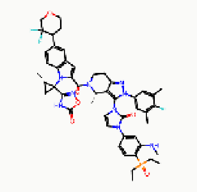 CCP(=O)(CC)c1ccc(-n2ccn(-c3c4c(nn3-c3cc(C)c(F)c(C)c3)CCN(C(=O)c3cc5cc(C6CCOCC6(F)F)ccc5n3[C@@]3(c5noc(=O)[nH]5)C[C@@H]3C)[C@H]4C)c2=O)cc1NC